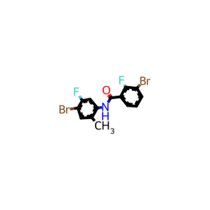 Cc1cc(Br)c(F)cc1NC(=O)c1cccc(Br)c1F